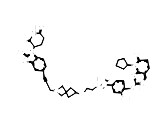 Cc1cc(S(=O)(=O)NCCOC2CC3(C2)CN(CC#Cc2ccc4c(c2)n(C)c(=O)n4C2CCC(=O)NC2=O)C3)ccc1Nc1ncc2ccc(=O)n(C3CCCC3)c2n1